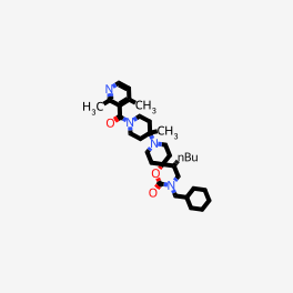 CCCCC1CN(CC2CCCCC2)C(=O)OC12CCN(C1(C)CCN(C(=O)c3c(C)ccnc3C)CC1)CC2